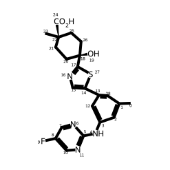 Cc1cc(Nc2ncc(F)cn2)cc(-c2cnc([C@]3(O)CC[C@@](C)(C(=O)O)CC3)s2)c1